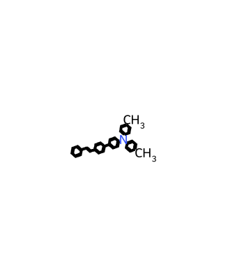 Cc1ccc(N(c2ccc(C)cc2)c2ccc(-c3ccc(C=Cc4ccccc4)cc3)cc2)cc1